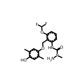 Cc1cc(OCc2c(NC(=O)N(C)N)cccc2OC(F)F)c(C)cc1O